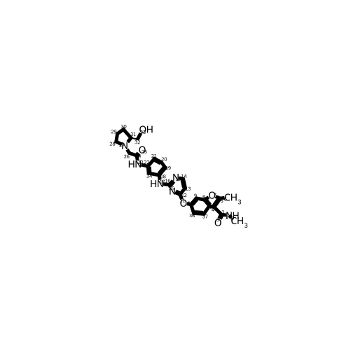 CNC(=O)c1c(C)oc2cc(Oc3ccnc(Nc4cccc(NC(=O)CN5CCC[C@H]5CO)c4)n3)ccc12